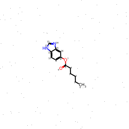 CCCCCC(=O)Oc1ccc2[nH]cnc2c1